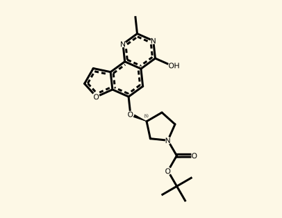 Cc1nc(O)c2cc(O[C@H]3CCN(C(=O)OC(C)(C)C)C3)c3occc3c2n1